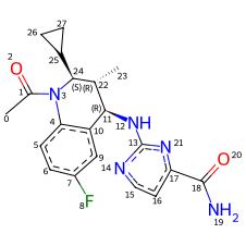 CC(=O)N1c2ccc(F)cc2[C@H](Nc2nccc(C(N)=O)n2)[C@@H](C)[C@@H]1C1CC1